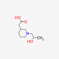 CC(O)CN1CCCC(CC(=O)O)C1